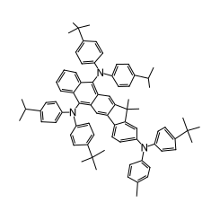 Cc1ccc(N(c2ccc(C(C)(C)C)cc2)c2ccc3c(c2)C(C)(C)c2cc4c(N(c5ccc(C(C)C)cc5)c5ccc(C(C)(C)C)cc5)c5ccccc5c(N(c5ccc(C(C)C)cc5)c5ccc(C(C)(C)C)cc5)c4cc2-3)cc1